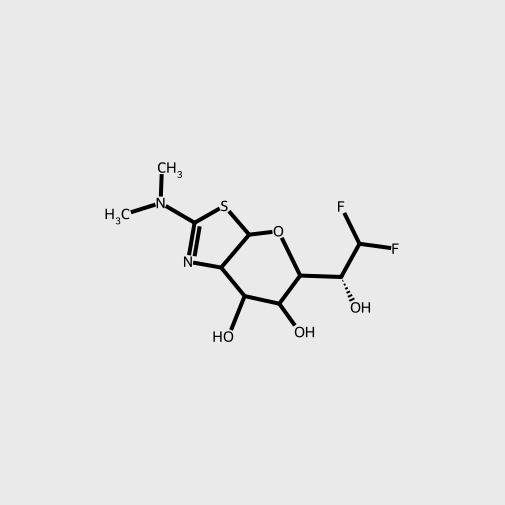 CN(C)C1=NC2C(OC([C@@H](O)C(F)F)C(O)C2O)S1